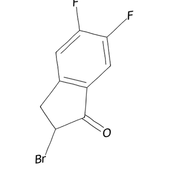 O=C1c2cc(F)c(F)cc2CC1Br